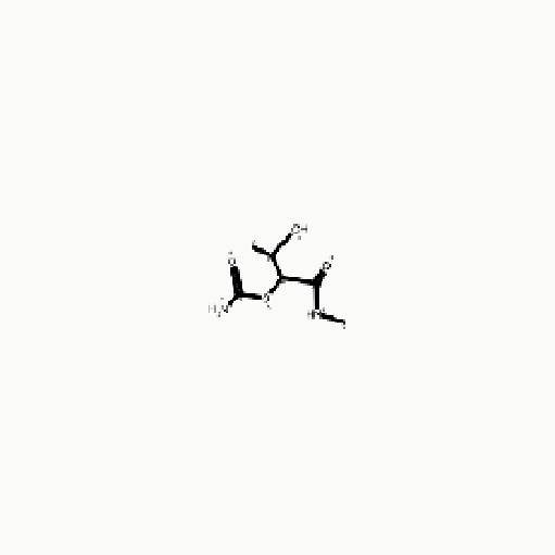 CNC(=O)C(OC(N)=O)C(C)O